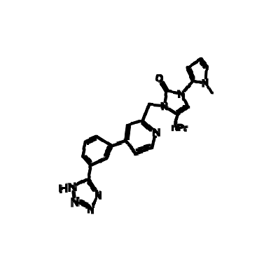 CCCc1cn(-c2cccn2C)c(=O)n1Cc1cc(-c2cccc(-c3nnn[nH]3)c2)ccn1